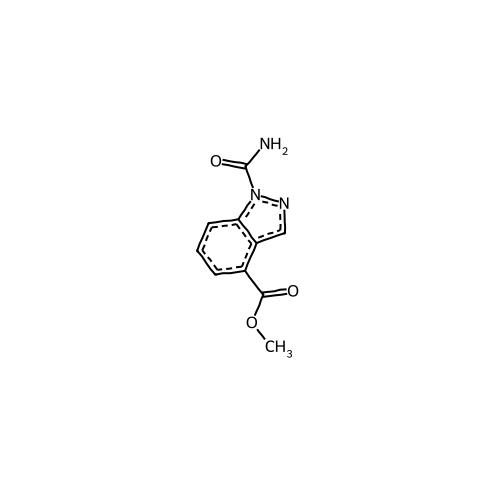 COC(=O)c1cccc2c1cnn2C(N)=O